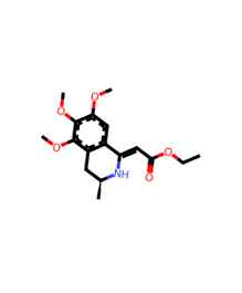 CCOC(=O)C=C1N[C@@H](C)Cc2c1cc(OC)c(OC)c2OC